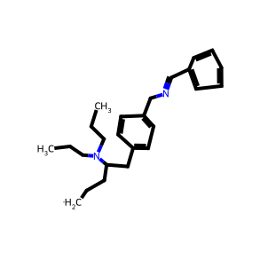 [CH2]CCC(Cc1ccc(CN=Cc2ccccc2)cc1)N(CCC)CCC